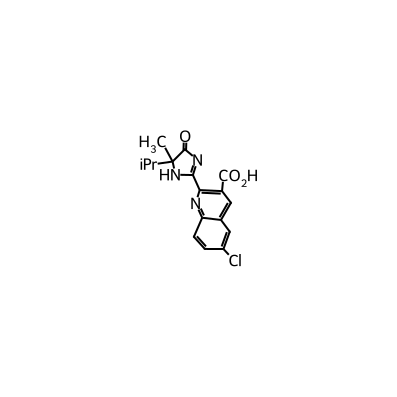 CC(C)C1(C)NC(c2nc3ccc(Cl)cc3cc2C(=O)O)=NC1=O